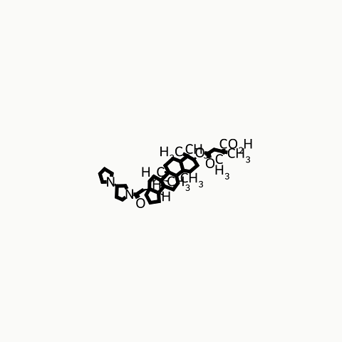 CC(C)(CC(=O)O[C@H]1CC[C@@]2(C)C(CC[C@]3(C)C2CC[C@@H]2[C@H]4CCC[C@]4(CC(=O)N4CC[C@@H](N5CCCC5)C4)CC[C@]23C)C1(C)C)C(=O)O